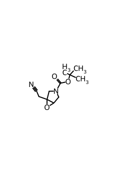 CC(C)(C)OC(=O)N1CC2OC2(CC#N)C1